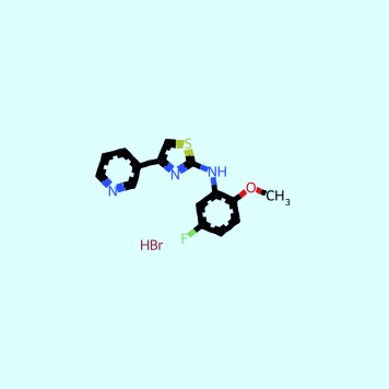 Br.COc1ccc(F)cc1Nc1nc(-c2cccnc2)cs1